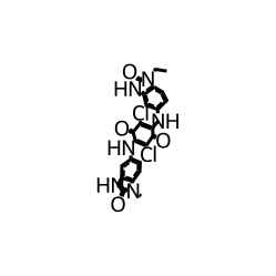 CCn1c(=O)[nH]c2cc(NC3=C(Cl)C(=O)C(Nc4ccc5c(c4)[nH]c(=O)n5C)=C(Cl)C3=O)ccc21